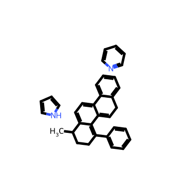 CC1CCC(c2ccccc2)=c2c1ccc1c2=CCc2ccccc2-1.c1cc[nH]c1.c1ccncc1